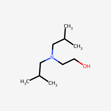 CC(C)CN(CCO)CC(C)C